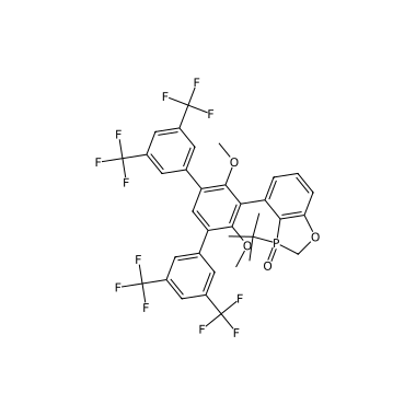 COc1c(-c2cc(C(F)(F)F)cc(C(F)(F)F)c2)cc(-c2cc(C(F)(F)F)cc(C(F)(F)F)c2)c(OC)c1-c1cccc2c1P(=O)(C(C)(C)C)CO2